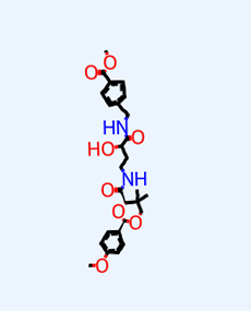 COC(=O)c1ccc(CNC(=O)C(O)CCNC(=O)[C@@H]2O[C@H](c3ccc(OC)cc3)OCC2(C)C)cc1